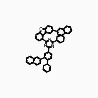 C1=CCC(c2ccc(-c3nc(C4=CCCC=C4)nc(-c4cccc5oc6ccc(-c7ccc8ccccc8c7)cc6c45)n3)cc2-c2ccc3ccccc3c2)C=C1